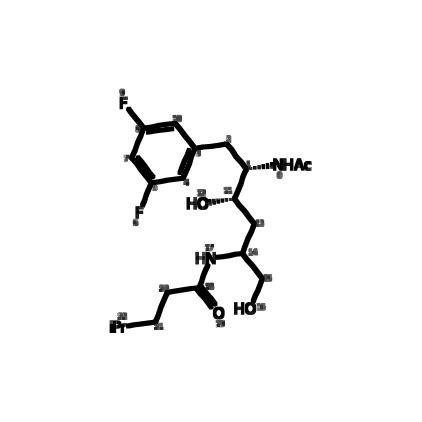 CC(=O)N[C@@H](Cc1cc(F)cc(F)c1)[C@@H](O)CC(CO)NC(=O)CCC(C)C